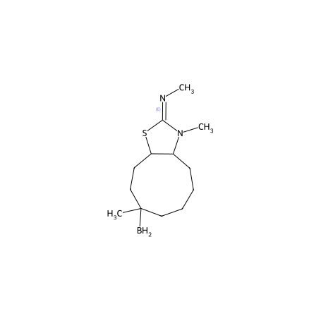 BC1(C)CCCCC2C(CC1)S/C(=N/C)N2C